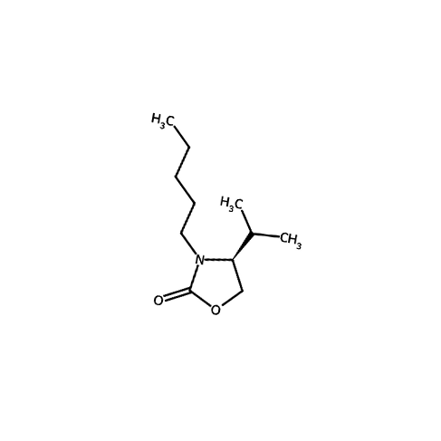 CCCCCN1C(=O)OC[C@@H]1C(C)C